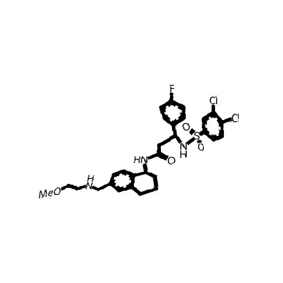 COCCNCc1ccc2c(c1)CCCC2NC(=O)CC(NS(=O)(=O)c1ccc(Cl)c(Cl)c1)c1ccc(F)cc1